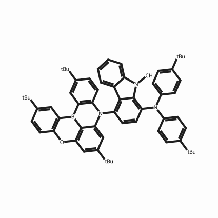 Cn1c2ccccc2c2c(N3c4ccc(C(C)(C)C)cc4B4c5cc(C(C)(C)C)ccc5Oc5cc(C(C)(C)C)cc3c54)ccc(N(c3ccc(C(C)(C)C)cc3)c3ccc(C(C)(C)C)cc3)c21